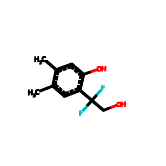 Cc1cc(O)c(C(F)(F)CO)cc1C